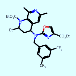 CCOC(=O)c1coc(N(Cc2cc(C(F)(F)F)cc(C(F)(F)F)c2)C2CC(CC)N(C(=O)OCC)c3c2cc(C)nc3C)n1